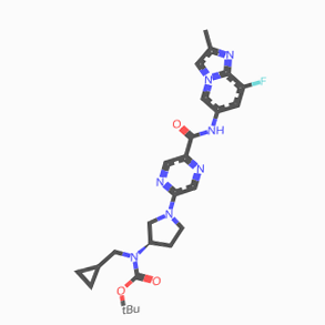 Cc1cn2cc(NC(=O)c3cnc(N4CC[C@@H](N(CC5CC5)C(=O)OC(C)(C)C)C4)cn3)cc(F)c2n1